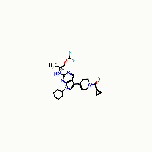 C[C@@H](COC(F)F)Nc1ncc2c(C3=CCN(C(=O)C4CC4)CC3)cn(C3CCCCC3)c2n1